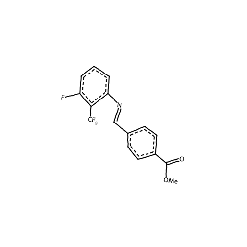 COC(=O)c1ccc(C=Nc2cccc(F)c2C(F)(F)F)cc1